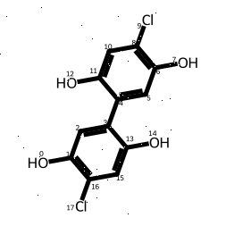 Oc1cc(-c2cc(O)c(Cl)cc2O)c(O)cc1Cl